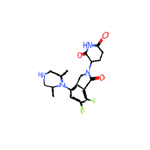 CC1CNCC(C)N1c1cc(F)c(F)c2c1CN(C1CCC(=O)NC1=O)C2=O